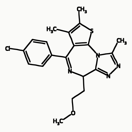 COCCC1N=C(c2ccc(Cl)cc2)c2c(sc(C)c2C)-n2c(C)nnc21